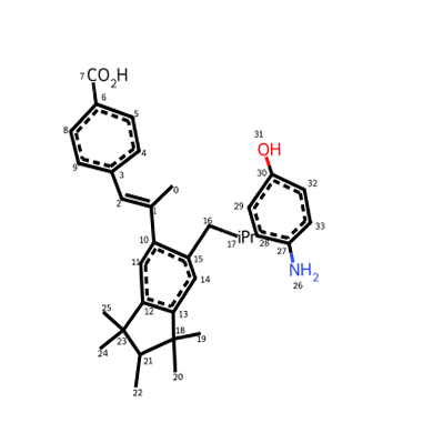 CC(=Cc1ccc(C(=O)O)cc1)c1cc2c(cc1CC(C)C)C(C)(C)C(C)C2(C)C.Nc1ccc(O)cc1